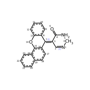 C/N=C\C(C(N)=O)=C1\c2ccccc2Oc2c1ccc1ccccc21